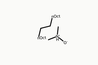 CCCCCCCCCCCCCCCCCC.C[NH+](C)[O-]